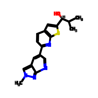 CC(C)[C@@H](O)c1cc2ccc(-c3cnc4nn(C)cc4c3)nc2s1